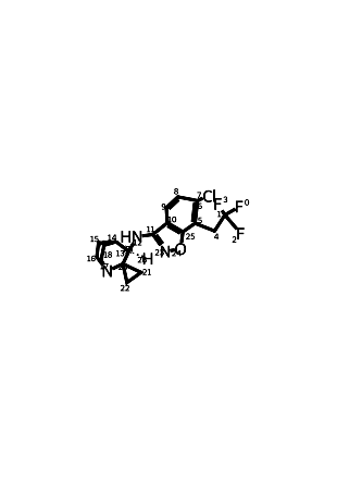 FC(F)(F)Cc1c(Cl)ccc2c(N[C@@H]3C4CCN(CC4)C34CC4)noc12